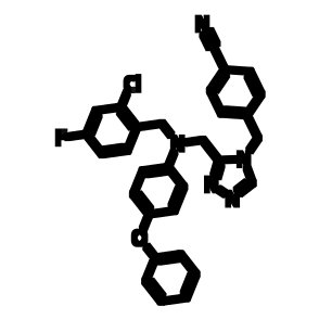 N#Cc1ccc(Cn2cnnc2CN(Cc2ccc(F)cc2Cl)c2ccc(Oc3ccccc3)cc2)cc1